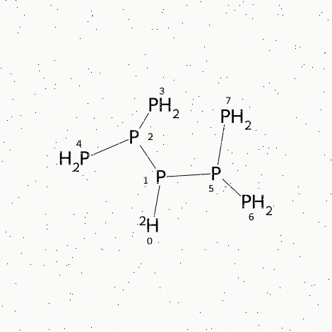 [2H]P(P(P)P)P(P)P